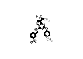 CC(C)c1cnn2c(NCc3cccc([N+](=O)[O-])c3)nc(OC3CCN(C)CC3)nc12